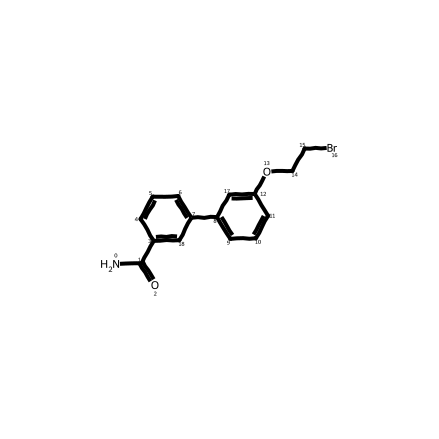 NC(=O)c1cccc(-c2cccc(OCCBr)c2)c1